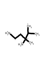 CC(C)C(C)(N)CCN